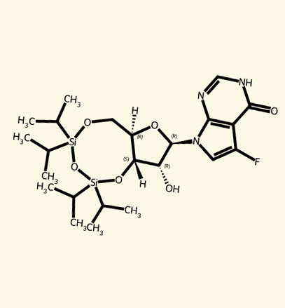 CC(C)[Si]1(C(C)C)OC[C@H]2O[C@@H](n3cc(F)c4c(=O)[nH]cnc43)[C@H](O)[C@@H]2O[Si](C(C)C)(C(C)C)O1